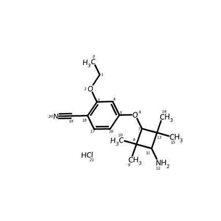 CCOc1cc(OC2C(C)(C)C(N)C2(C)C)ccc1C#N.Cl